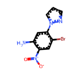 Nc1cc(-n2cccn2)c(Br)cc1[N+](=O)[O-]